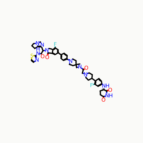 O=C1CC[C@H](Nc2ccc(C3CCN(CC(=O)N4CC5(CCN(c6ccc(-c7cc(F)c8c(c7)C(=O)N(C(C(=O)Nc7nccs7)c7ncn9c7CCC9)C8)cc6)CC5)C4)CC3)c(F)c2)C(=O)N1